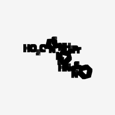 CC(C)c1cc(Nc2nc3ccccc3s2)nnc1Nc1nc(C(=O)O)cs1